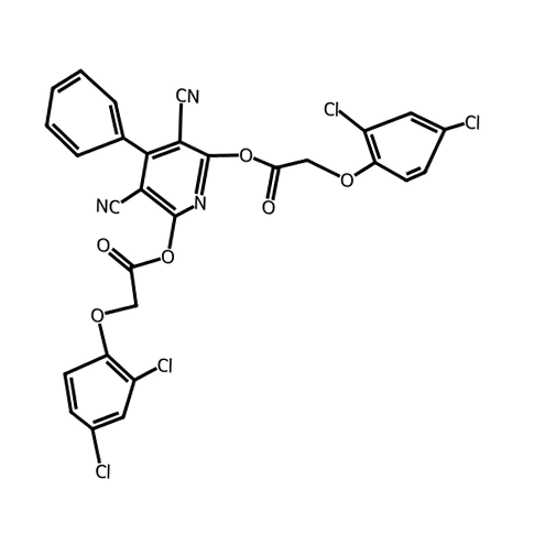 N#Cc1c(OC(=O)COc2ccc(Cl)cc2Cl)nc(OC(=O)COc2ccc(Cl)cc2Cl)c(C#N)c1-c1ccccc1